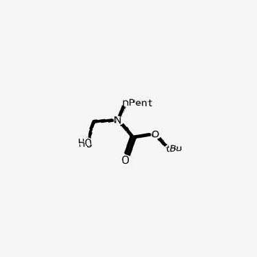 CCCCCN(CO)C(=O)OC(C)(C)C